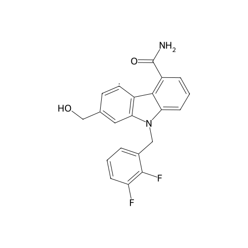 NC(=O)c1cccc2c1c1[c]cc(CO)cc1n2Cc1cccc(F)c1F